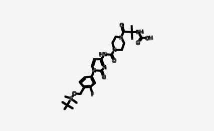 CC(C)(NC(=O)O)C(=O)N1CCN(C(=O)Nc2ccn(-c3ccc(CO[Si](C)(C)C(C)(C)C)c(F)c3)c(=O)n2)CC1